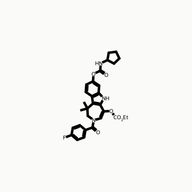 CCOC(=O)OC1=CN(C(=O)c2ccc(F)cc2)CC(C)(C)c2c1[nH]c1cc(OC(=O)NC3CCCC3)ccc21